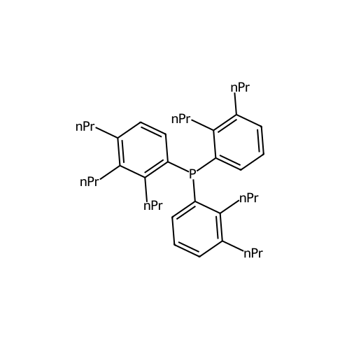 CCCc1cccc(P(c2cccc(CCC)c2CCC)c2ccc(CCC)c(CCC)c2CCC)c1CCC